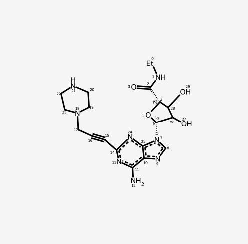 CCNC(=O)[C@H]1O[C@@H](n2cnc3c(N)nc(C#CCN4CCNCC4)nc32)C(O)C1O